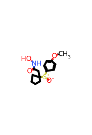 COc1ccc([S+]([O-])C2(CC(=O)NO)CCCC2)cc1